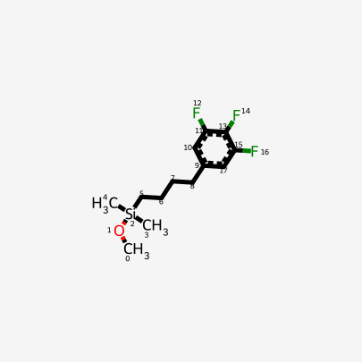 CO[Si](C)(C)CCCCc1cc(F)c(F)c(F)c1